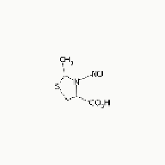 CC1SCC(C(=O)O)N1N=O